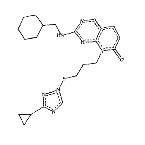 O=c1ccc2cnc(NCC3CCCCC3)nc2n1CCCSn1cnc(C2CC2)n1